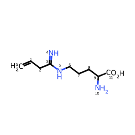 C=CCC(=N)NCCCC(N)C(=O)O